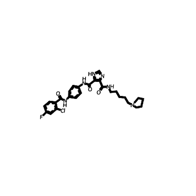 O=C(Nc1ccc(NC(=O)c2[nH]cnc2C(=O)NCCCCCN2CCCC2)cc1)c1ccc(F)cc1Cl